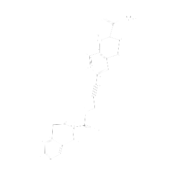 COC(=O)C1CCc2cc(C#CCOC(=O)N3CCc4ccccc4C3)ccc2O1